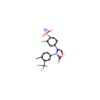 Cc1ccc(-n2c(-c3ccc(S(N)(=O)=O)c(F)c3)coc2=O)cc1C(F)(F)F